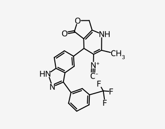 [C-]#[N+]C1=C(C)NC2=C(C(=O)OC2)C1c1ccc2[nH]nc(-c3cccc(C(F)(F)F)c3)c2c1